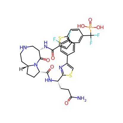 NC(=O)CC[C@H](NC(=O)[C@@H]1CC[C@@H]2CCNC[C@H](NC(=O)c3cc4cc(C(F)(F)P(=O)(O)O)ccc4s3)C(=O)N21)c1nc(-c2ccc(F)c(F)c2)cs1